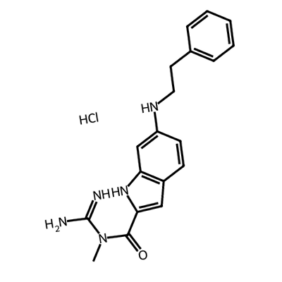 CN(C(=N)N)C(=O)c1cc2ccc(NCCc3ccccc3)cc2[nH]1.Cl